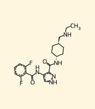 CCNC[C@H]1CC[C@H](NC(=O)c2n[nH]cc2NC(=O)c2c(F)cccc2F)CC1